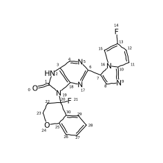 O=c1[nH]c2cnc(-c3cnc4ccc(F)cn34)nc2n1C1(F)CCOc2ccccc21